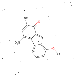 CCOc1cccc2c1C=C1C(=O)C([N+](=O)[O-])=CC([N+](=O)[O-])=C12